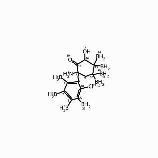 Bc1c(B)c(B)c(C2(N)CC(B)(B)C(B)(B)C(O)C2=O)c(Cl)c1B